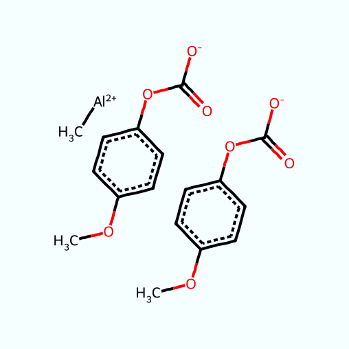 COc1ccc(OC(=O)[O-])cc1.COc1ccc(OC(=O)[O-])cc1.[CH3][Al+2]